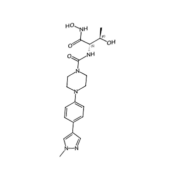 C[C@@H](O)[C@H](NC(=O)N1CCN(c2ccc(-c3cnn(C)c3)cc2)CC1)C(=O)NO